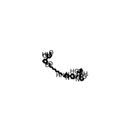 O=C1CCC(c2cccc(OC(=O)CCCCCCCCNc3cnc(C4CCN(c5nc6c(c(NC7(CO)CCC7)n5)[S@+]([O-])CC6)CC4)nc3)c2)C(=O)N1